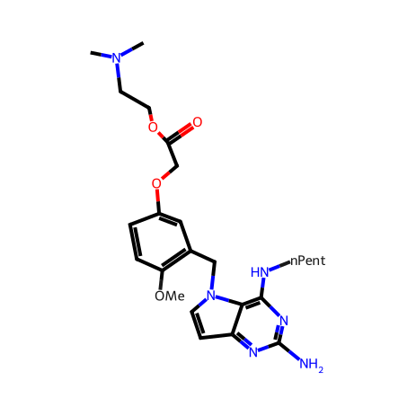 CCCCCNc1nc(N)nc2ccn(Cc3cc(OCC(=O)OCCN(C)C)ccc3OC)c12